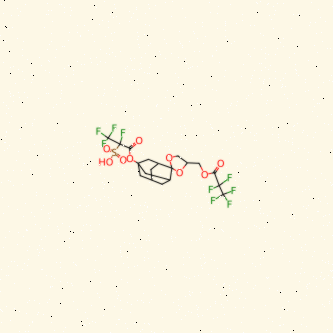 O=C(OCC1COC2(O1)C1CC3CC2CC(OC(=O)C(F)(C(F)(F)F)S(=O)(=O)O)(C3)C1)C(F)(F)C(F)(F)F